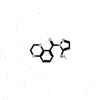 Nc1ccnn1C(=O)c1cccc2c1OCCO2